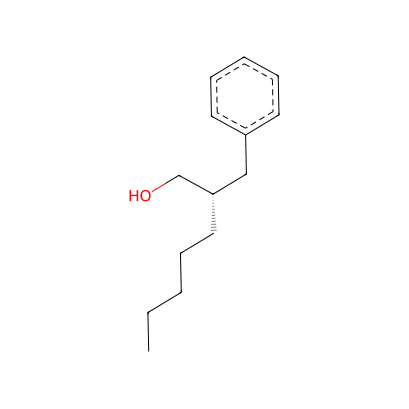 CCCCC[C@H](CO)Cc1ccccc1